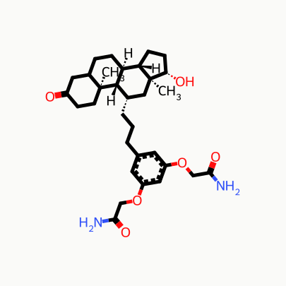 C[C@]12C[C@H](CCCc3cc(OCC(N)=O)cc(OCC(N)=O)c3)[C@H]3[C@@H](CCC4CC(=O)CC[C@@]43C)[C@@H]1CC[C@@H]2O